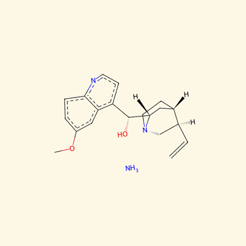 C=C[C@H]1C[N@]2CC[C@H]1C[C@H]2[C@H](O)c1ccnc2ccc(OC)cc12.N